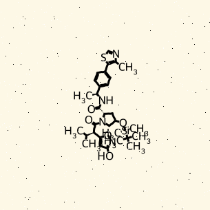 Cc1ncsc1-c1ccc([C@H](C)NC(=O)[C@@H]2CC(O[Si](C)(C)C(C)(C)C)CN2C(=O)[C@@H](c2cc(O)no2)C(C)C)cc1